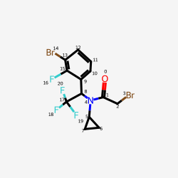 O=C(CBr)N(C1CC1)C(c1cccc(Br)c1F)C(F)(F)F